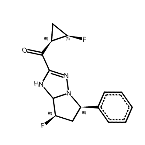 O=C(C1=NN2C(N1)[C@H](F)C[C@@H]2c1ccccc1)[C@H]1C[C@H]1F